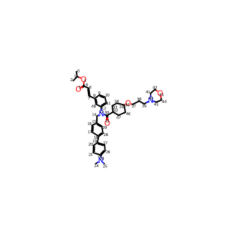 CC(C)OC(=O)/C=C/c1cccc(N(Cc2ccc(-c3ccc(N(C)C)cc3)cc2)C(=O)C2CCC(OCCCN3CCOCC3)CC2)c1